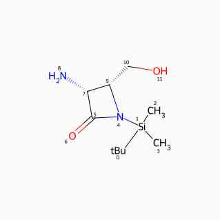 CC(C)(C)[Si](C)(C)N1C(=O)[C@H](N)[C@@H]1CO